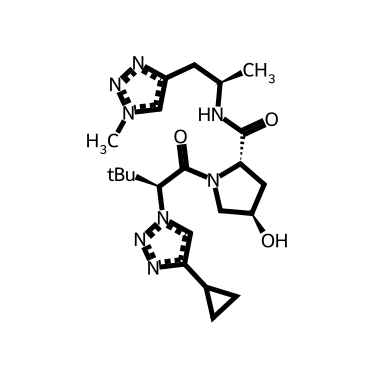 C[C@H](Cc1cn(C)nn1)NC(=O)[C@@H]1C[C@@H](O)CN1C(=O)[C@@H](n1cc(C2CC2)nn1)C(C)(C)C